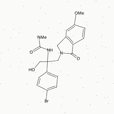 CNC(=O)NC(CO)(CN1Cc2cc(OC)ccc2C1=O)c1ccc(Br)cc1